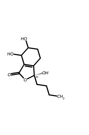 CCCC[C@@]1(O)OC(=O)C2=C1CCC(O)C2O